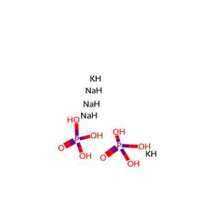 O=P(O)(O)O.O=P(O)(O)O.[KH].[KH].[NaH].[NaH].[NaH]